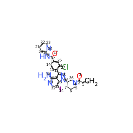 C=CC(=O)N1CCCC(n2nc(-c3ccc(C(=O)Nc4ccccn4)cc3Cl)c3c(N)ncc(I)c32)C1